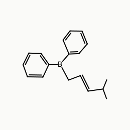 CC(C)/C=C/CB(c1ccccc1)c1ccccc1